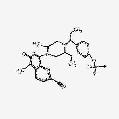 CCC1CN(c2nc(=O)n(C)c3ccc(C#N)nc23)C(C)CN1C(CC)c1ccc(OC(F)(F)F)cc1